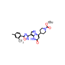 Cc1ccc(-c2nc(-c3cnn4c(C5CCN(C(=O)OC(C)(C)C)CC5)cc(=O)[nH]c34)no2)c(C(F)(F)F)c1